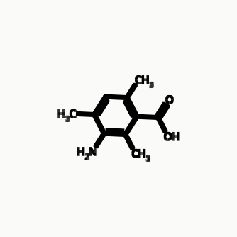 Cc1cc(C)c(C(=O)O)c(C)c1N